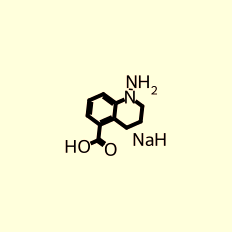 NN1CCCc2c(C(=O)O)cccc21.[NaH]